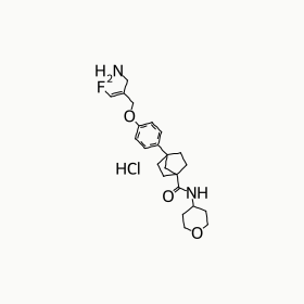 Cl.NCC(=CF)COc1ccc(C23CCC(C(=O)NC4CCOCC4)(CC2)C3)cc1